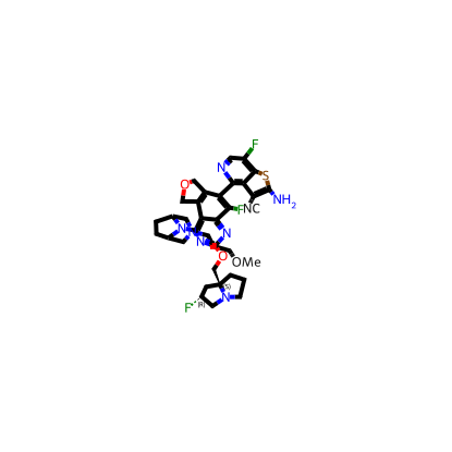 COCCCN1CC2CCC(C1)N2c1nc(OC[C@@]23CCCN2C[C@H](F)C3)nc2c(F)c(-c3ncc(F)c4sc(N)c(C#N)c34)c3c(c12)COC3